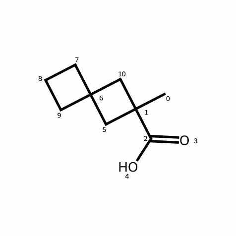 CC1(C(=O)O)CC2(CCC2)C1